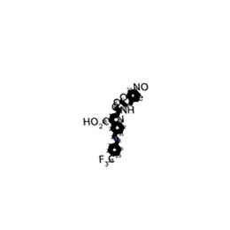 COC(=O)[C@H](Cc1ccc(N=O)cc1)NC(=O)c1cc(C(=O)O)c2cc(/C=C/c3ccc(C(F)(F)F)cc3)ccc2n1